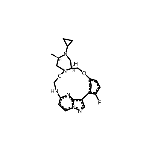 C[C@@H]1CN2CCNc3ccn4ncc(c4n3)-c3cc(ccc3F)OC[C@@H]2CN1C1CC1